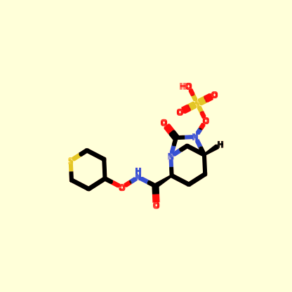 O=C(NOC1CCSCC1)[C@@H]1CC[C@@H]2CN1C(=O)N2OS(=O)(=O)O